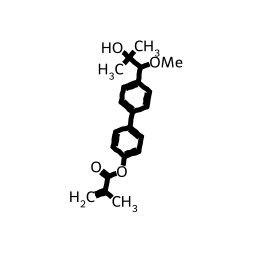 C=C(C)C(=O)Oc1ccc(-c2ccc(C(OC)C(C)(C)O)cc2)cc1